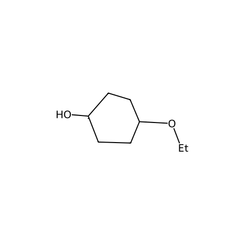 CCOC1CC[C](O)CC1